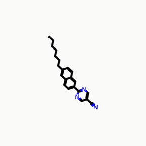 CCCCCCCc1ccc2cc(-c3ncc(C#N)cn3)ccc2c1